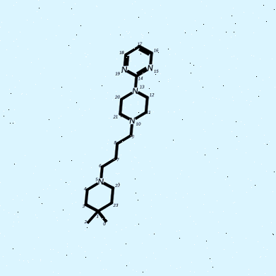 CC1(C)CCN(CCCCN2CCN(c3ncccn3)CC2)CC1